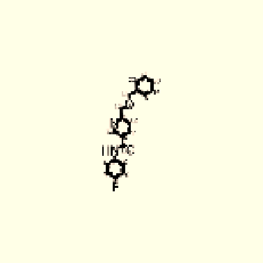 O=C(Nc1ccc(F)cc1)c1ccc(COCc2ccccc2)nc1